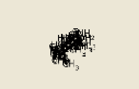 CCOP(=O)(OCC)C(Nc1ccc2c(c1O)C(=O)C1=C(O)[C@@]3(O)C(=O)C(C(N)=O)=C(O)[C@@H](N(C)C)[C@H]3[C@H](O)[C@H]1[C@H]2C)c1ccc(OC)cc1